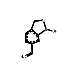 C=Cc1ccc2c(c1)B(O)OC2